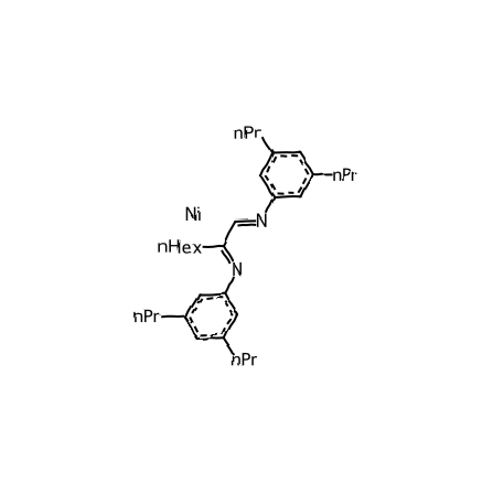 CCCCCCC(C=Nc1cc(CCC)cc(CCC)c1)=Nc1cc(CCC)cc(CCC)c1.[Ni]